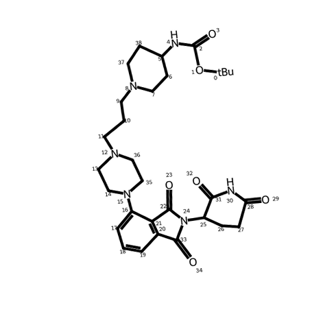 CC(C)(C)OC(=O)NC1CCN(CCCN2CCN(c3cccc4c3C(=O)N(C3CCC(=O)NC3=O)C4=O)CC2)CC1